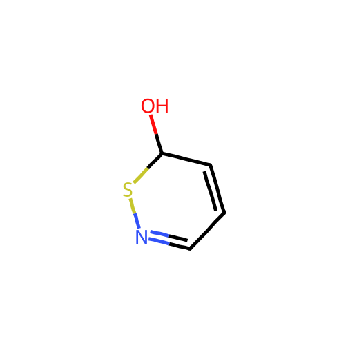 OC1C=CC=NS1